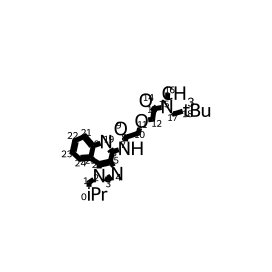 CC(C)Cn1cnc2c(NC(=O)COCC(=O)N(C)CC(C)(C)C)nc3ccccc3c21